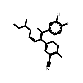 CCC(C)C/C=C\C(C1=CC(C#N)=C(C)CC1)=C(/C)c1ccc(F)c(Cl)c1